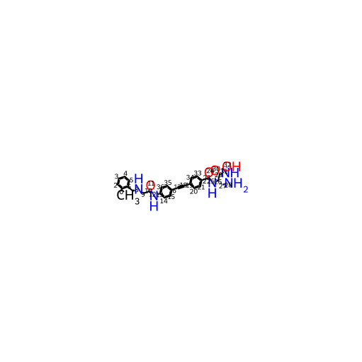 Cc1ccccc1CNCC(=O)Nc1ccc(C#Cc2ccc(C(=O)N[C@@H](CN)C(=O)NO)cc2)cc1